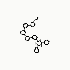 C=CCc1cccc(-c2cccc(-c3cccc(-c4cccc(-c5cccc(-c6nc(-c7ccccc7)nc(-c7ccccc7)n6)c5)c4)c3)c2)c1